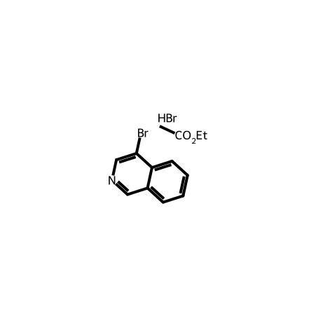 Br.Brc1cncc2ccccc12.CCOC(C)=O